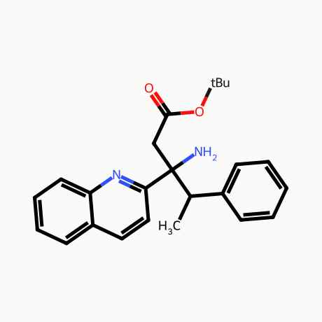 CC(c1ccccc1)C(N)(CC(=O)OC(C)(C)C)c1ccc2ccccc2n1